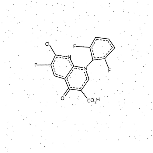 O=C(O)c1cn(-c2c(F)cccc2F)c2nc(Cl)c(F)cc2c1=O